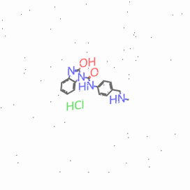 CNCc1ccc(NC(=O)n2c(O)nc3ccccc32)cc1.Cl